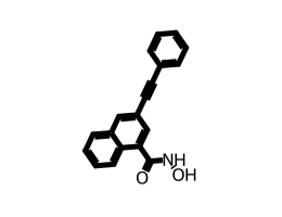 O=C(NO)c1cc(C#Cc2ccccc2)cc2ccccc12